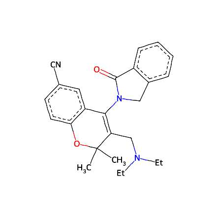 CCN(CC)CC1=C(N2Cc3ccccc3C2=O)c2cc(C#N)ccc2OC1(C)C